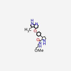 COCCCNC(=O)C1NCCC1c1ccc(Oc2ccnc3[nH]cc(C)c23)cc1